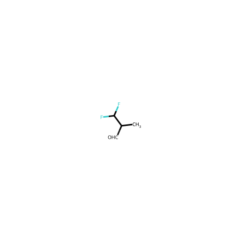 CC(C=O)C(F)F